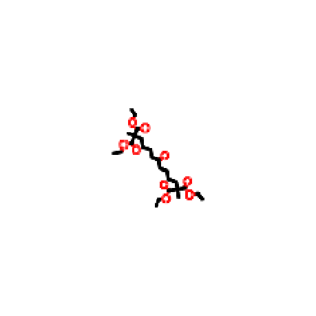 CCOC(=O)C(C)(CCCCC(=O)CCCCC(C)(C(=O)OCC)C(=O)OCC)C(=O)OCC